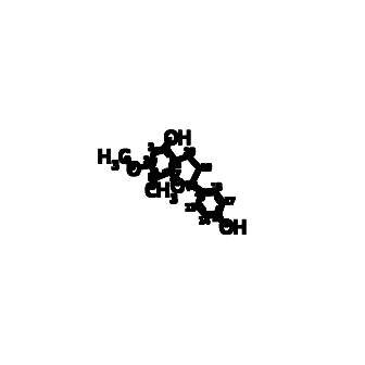 COc1cc(O)c2c(c1C)O[C@H](c1ccc(O)cc1)CC2